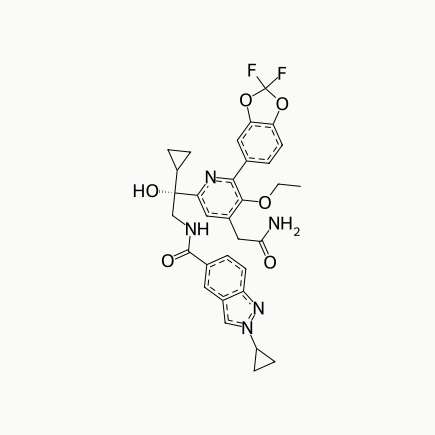 CCOc1c(CC(N)=O)cc([C@@](O)(CNC(=O)c2ccc3nn(C4CC4)cc3c2)C2CC2)nc1-c1ccc2c(c1)OC(F)(F)O2